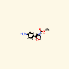 CC(C)(C)OC(=O)N1C[C@]2(c3ccc(N)cc3)CC1CO2